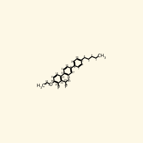 CCCCCc1ccc(-c2ccc(-c3ccc(OCC)c(F)c3C(F)F)cc2)cc1